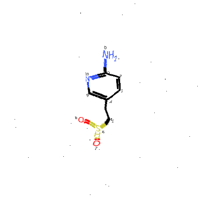 Nc1ccc(C[SH](=O)=O)cn1